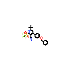 CC(C)(C)c1cc(-c2ccc(OCc3ccccc3)cc2)c(C#N)c(S(=O)(=O)C(F)(F)F)n1